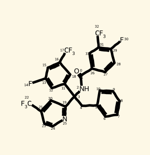 O=C(NC(Cc1ccccc1)(c1cc(F)cc(C(F)(F)F)c1)c1cc(C(F)(F)F)ccn1)c1ccc(F)c(C(F)(F)F)c1